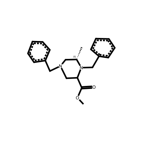 COC(=O)C1CN(Cc2ccccc2)C[C@H](C)N1Cc1ccccc1